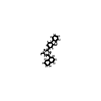 Cc1nc(-c2ccc3c(c2)oc2ccccc23)nc(-c2cccc3ccccc23)n1